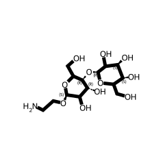 NCCO[C@H]1OC(CO)[C@H](O[C@H]2OC(CO)[C@@H](O)[C@H](O)C2O)[C@H](O)C1O